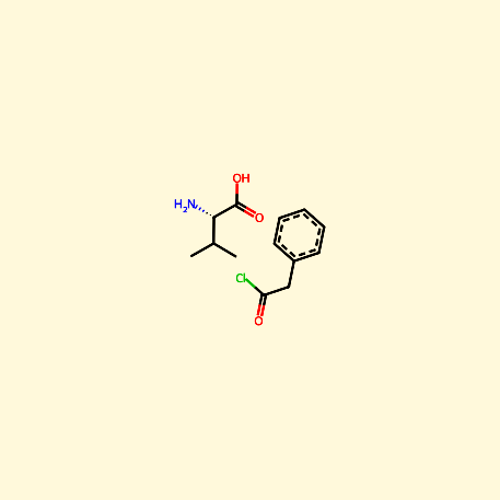 CC(C)[C@H](N)C(=O)O.O=C(Cl)Cc1ccccc1